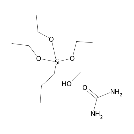 CCC[Si](OCC)(OCC)OCC.CO.NC(N)=O